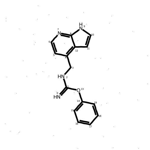 N=C(NCc1ccnc2[nH]ccc12)Oc1ccccc1